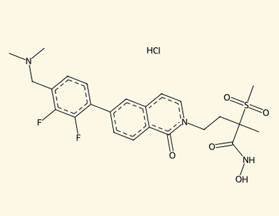 CN(C)Cc1ccc(-c2ccc3c(=O)n(CCC(C)(C(=O)NO)S(C)(=O)=O)ccc3c2)c(F)c1F.Cl